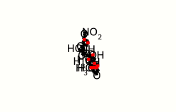 C[C@]12C=CC(=O)C=C1CC[C@H]1[C@@H]3C[C@@H](O)[C@](O)(C(=O)COC(=O)C(CO)NC(=O)c4cccc(CCO[N+](=O)[O-])c4)[C@@]3(C)C[C@H](O)[C@@]12F